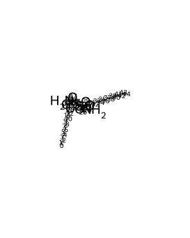 CCCCCCCCCCCCCCOC(=O)C(N)(CSSCC(N)(C(C)=O)C(=O)OCCCCCCCCCCCCCC)C(C)=O